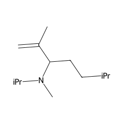 C=C(C)C(CCC(C)C)N(C)C(C)C